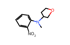 CN(c1ccccc1[N+](=O)[O-])C1CCOC1